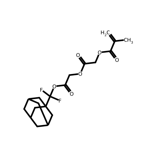 C=C(C)C(=O)OCC(=O)OCC(=O)OC(F)(F)C12CC3CC(CC(C3)C1)C2